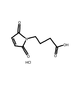 Cl.O=C(O)CCCN1C(=O)C=CC1=O